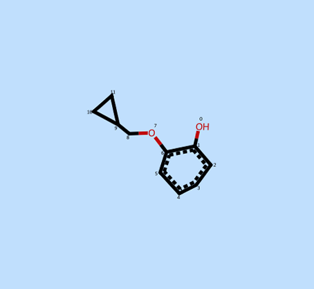 Oc1cc[c]cc1OCC1CC1